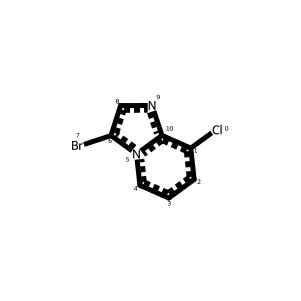 Clc1cccn2c(Br)cnc12